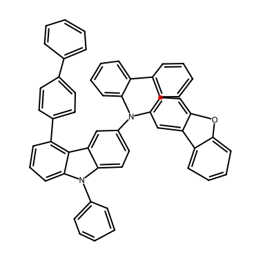 c1ccc(-c2ccc(-c3cccc4c3c3cc(N(c5ccc6oc7ccccc7c6c5)c5ccccc5-c5ccccc5)ccc3n4-c3ccccc3)cc2)cc1